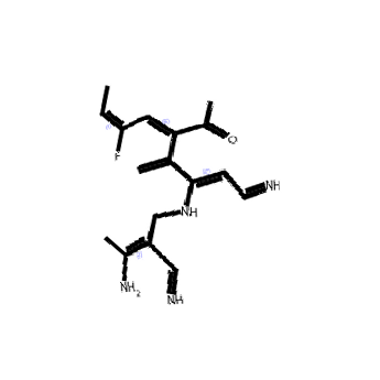 C=C(/C(=C/C=N)NC/C(C=N)=C(\C)N)/C(=C\C(F)=C/C)C(C)=O